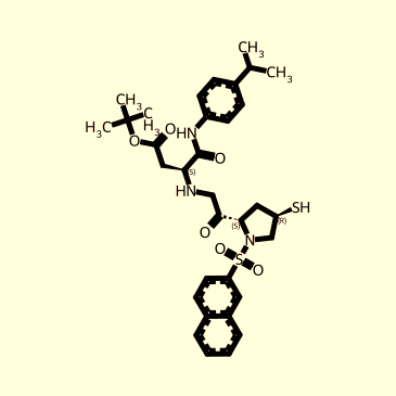 CC(C)c1ccc(NC(=O)[C@H](CC(=O)OC(C)(C)C)NCC(=O)[C@@H]2C[C@@H](S)CN2S(=O)(=O)c2ccc3ccccc3c2)cc1